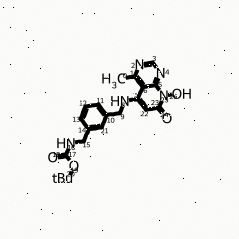 Cc1ncnc2c1c(NCc1cccc(CNC(=O)OC(C)(C)C)c1)cc(=O)n2O